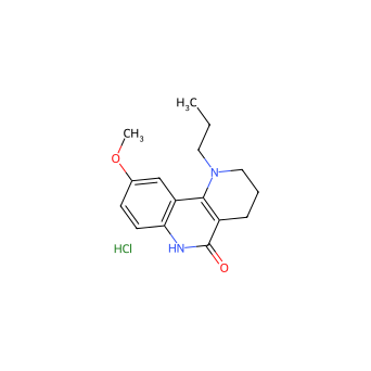 CCCN1CCCc2c1c1cc(OC)ccc1[nH]c2=O.Cl